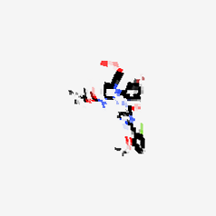 COc1cccc(F)c1-c1nccc(C(=O)Nc2ccc(Br)cc2N2CC(NC(=O)OC(C)(C)C)CC2CO)n1